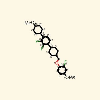 COc1ccc(OCC2CCC(c3ccc(C4CCC(OC)CC4)c(F)c3F)CC2)c(F)c1